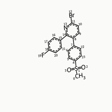 CS(=O)(=O)c1ccc(-c2ccc(Br)nc2-c2ccc(F)cc2)cc1